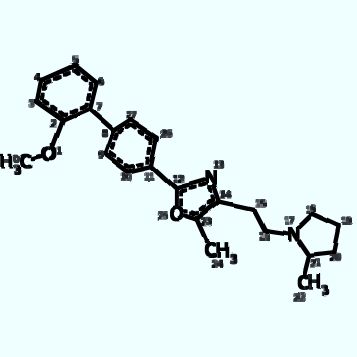 COc1ccccc1-c1ccc(-c2nc(CCN3CCCC3C)c(C)o2)cc1